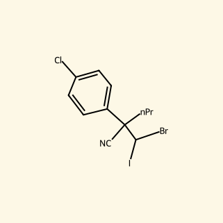 CCCC(C#N)(c1ccc(Cl)cc1)C(Br)I